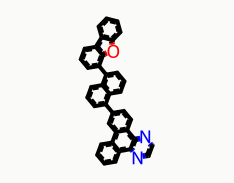 c1ccc2c(c1)oc1c(-c3cccc4c(-c5ccc6c(c5)c5ccccc5c5nccnc65)cccc34)cccc12